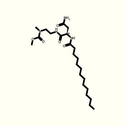 CCCCCCCCCCCCCC(=O)N[C@H](CC(N)=O)C(=O)NCCN(C)C(=O)OC